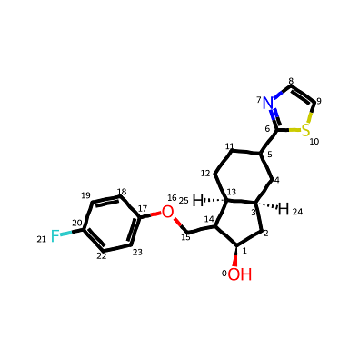 O[C@@H]1C[C@@H]2CC(c3nccs3)CC[C@@H]2C1COc1ccc(F)cc1